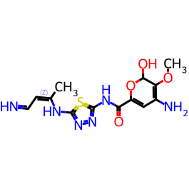 COC1=C(N)C=C(C(=O)Nc2nnc(N/C(C)=C\C=N)s2)OC1O